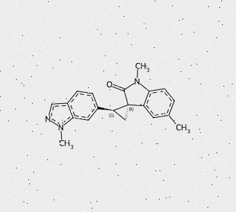 Cc1ccc2c(c1)[C@]1(C[C@H]1c1ccc3cnn(C)c3c1)C(=O)N2C